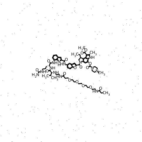 CCC(=O)NCCOCCOCCOCCOCCC(=O)NCCN[C@@H](C(=O)N[C@H](CCCNC(N)=O)C(=O)Nc1cccc2cc(C(=O)Nc3ccc4oc(C(=O)N5CC(CC)c6c5cc(OC(=O)N5CCN(C)CC5)c5[nH]c(C)c(C(=O)OC)c65)cc4c3)[nH]c12)C(C)C